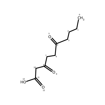 CCCCC(=O)CCC(=O)CC(=O)O